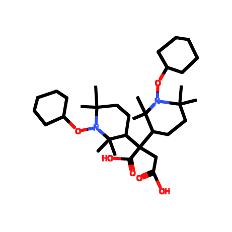 CC1(C)CCC(C(CC(=O)O)(C(=O)O)C2CCC(C)(C)N(OC3CCCCC3)C2(C)C)C(C)(C)N1OC1CCCCC1